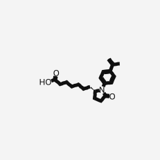 C=C(C)c1ccc(N2C(=O)CC[C@@H]2CCCCCCC(=O)O)cc1